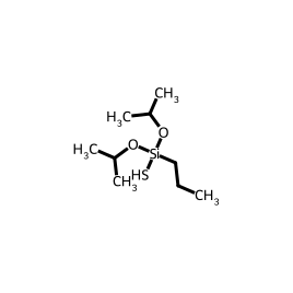 CCC[Si](S)(OC(C)C)OC(C)C